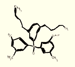 CCCCc1cc(CCCC)cc([Si](Cl)(c2cc(C)cc(C)c2)c2cc(C)cc(C)c2)c1